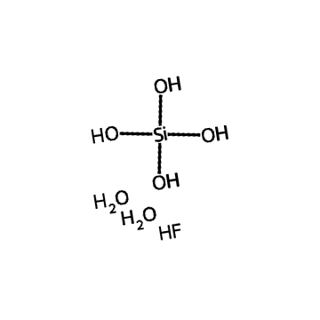 F.O.O.O[Si](O)(O)O